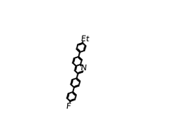 CCc1ccc(-c2ccc3cc(-c4ccc(-c5ccc(F)cc5)cc4)cnc3c2)cc1